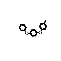 [CH2]c1ccc(Oc2ccc(Oc3ccccc3)cc2)cc1